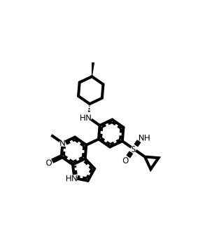 Cn1cc(-c2cc(S(=N)(=O)C3CC3)ccc2N[C@H]2CC[C@H](C)CC2)c2cc[nH]c2c1=O